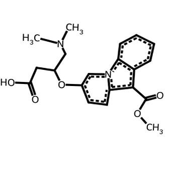 COC(=O)c1c2ccccc2n2cc(OC(CC(=O)O)CN(C)C)ccc12